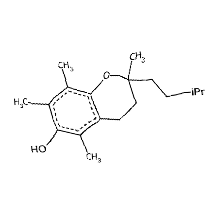 Cc1c(C)c2c(c(C)c1O)CCC(C)(CCC(C)C)O2